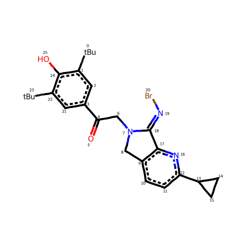 CC(C)(C)c1cc(C(=O)CN2Cc3ccc(C4CC4)nc3/C2=N/Br)cc(C(C)(C)C)c1O